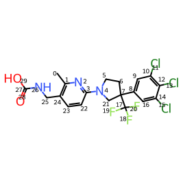 Cc1nc(N2CCC(c3cc(Cl)c(Cl)c(Cl)c3)(C(F)(F)F)C2)ccc1CNC(=O)O